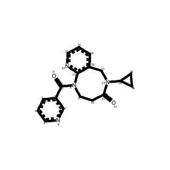 O=C(c1cccnc1)N1CCC(=O)N(C2CC2)Cc2cccnc21